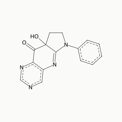 O=C1c2ncncc2N=C2N(c3ccccc3)CCC12O